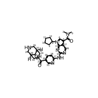 CN(C)C(=O)c1cn(C2CCCC2)c2nc(Nc3ccc(C(=O)N4C[C@H]5CNC[C@@H](C4)C5O)cn3)ncc12